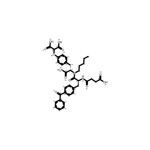 CCCCCN(C(=O)[C@H](Cc1ccc(C(=O)c2ccccc2)cc1)NC(=O)CCC(=O)O)[C@@H](Cc1ccc(OC(C(=O)O)C(=O)O)cc1)C(N)=O